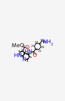 COC(=O)c1c[nH]c2nccc(NC(=O)C3CCC(CN)CC3)c12